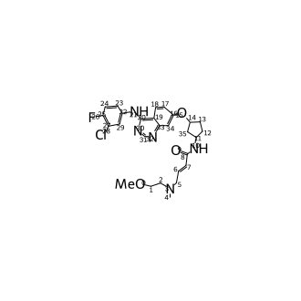 COCCN(C)CC=CC(=O)NC1CCC(Oc2ccc3c(Nc4ccc(F)c(Cl)c4)ncnc3c2)C1